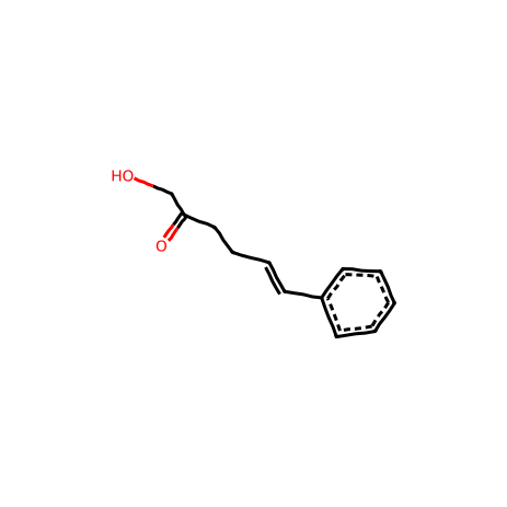 O=C(CO)CCC=Cc1ccccc1